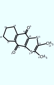 Cc1sc2c(=O)c3c(c(=O)c=2sc1C)CCCC3